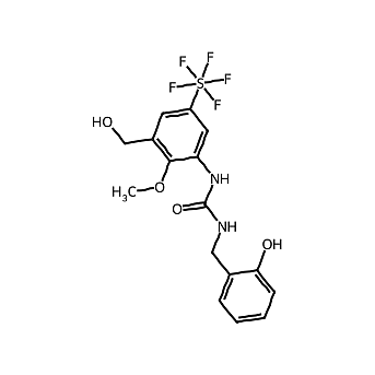 COc1c(CO)cc(S(F)(F)(F)(F)F)cc1NC(=O)NCc1ccccc1O